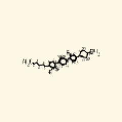 C=CCCCCc1ccc(-c2ccc(-c3ccc(C4=CCC(C)CC4)cc3F)cc2)c(F)c1F